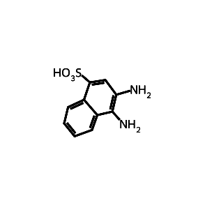 Nc1cc(S(=O)(=O)O)c2ccccc2c1N